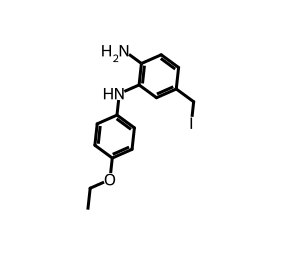 CCOc1ccc(Nc2cc(CI)ccc2N)cc1